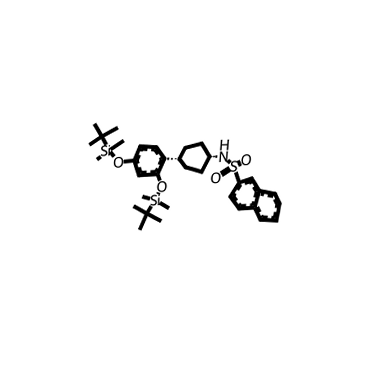 CC(C)(C)[Si](C)(C)Oc1ccc([C@H]2CC[C@@H](NS(=O)(=O)c3ccc4ccccc4c3)CC2)c(O[Si](C)(C)C(C)(C)C)c1